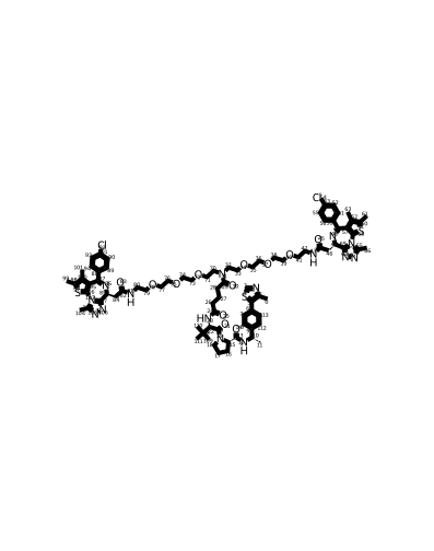 Cc1ncsc1-c1ccc([C@H](C)NC(=O)[C@@H]2CCCN2C(=O)[C@@H](NC(=O)CCCC(=O)N(CCOCCOCCOCCNC(=O)C[C@@H]2N=C(c3ccc(Cl)cc3)c3c(sc(C)c3C)-n3c(C)nnc32)CCOCCOCCOCCNC(=O)C[C@@H]2N=C(c3ccc(Cl)cc3)c3c(sc(C)c3C)-n3c(C)nnc32)C(C)(C)C)cc1